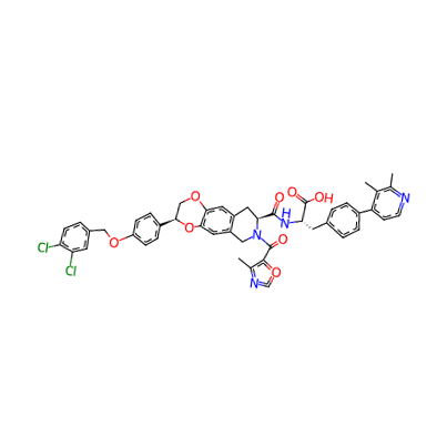 Cc1ncoc1C(=O)N1Cc2cc3c(cc2C[C@H]1C(=O)N[C@@H](Cc1ccc(-c2ccnc(C)c2C)cc1)C(=O)O)OC[C@H](c1ccc(OCc2ccc(Cl)c(Cl)c2)cc1)O3